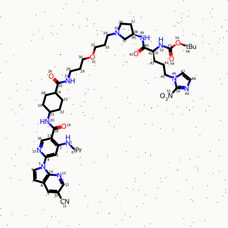 CC(C)Nc1cc(-n2ccc3cc(C#N)cnc32)ncc1C(=O)NC1CCC(C(=O)NCCCOCCCN2CC[C@@H](NC(=O)[C@H](CCCn3ccnc3[N+](=O)[O-])NC(=O)OC(C)(C)C)C2)CC1